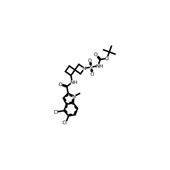 Cn1c(C(=O)NC2CCC23CN(S(=O)(=O)NC(=O)OC(C)(C)C)C3)cc2c(Cl)c(Cl)ccc21